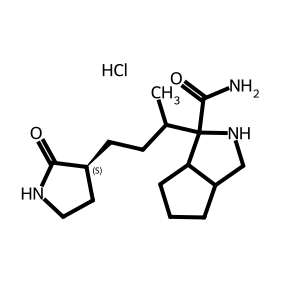 CC(CC[C@H]1CCNC1=O)C1(C(N)=O)NCC2CCCC21.Cl